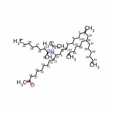 C=C(CCCCCCCCC(CCCCCCCCC(C)=O)N(C(=C)CCCCCCC)N(C)C)CC(CCCCCC)CCCCCC